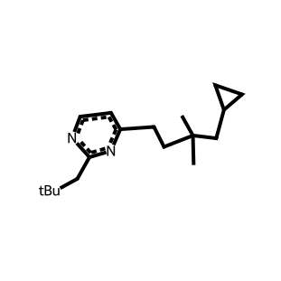 CC(C)(C)Cc1nccc(CCC(C)(C)CC2CC2)n1